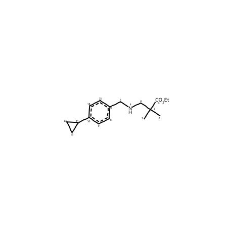 CCOC(=O)C(C)(C)CNCc1ccc(C2CC2)cc1